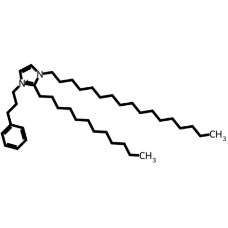 CCCCCCCCCCCCCCCCCn1cc[n+](CCCc2ccccc2)c1CCCCCCCCCCCC